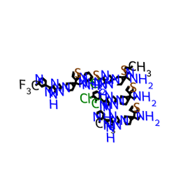 Cc1csc(C2(CN)C3CCN(c4cnc5c(Sc6ccnc(N)c6Cl)n[nH]c5n4)CC32)n1.NCC1(c2ccsc2)C2CCN(c3cnc4c(-c5cccc(Cl)c5Cl)n[nH]c4n3)CC21.NCC1(c2ccsc2)C2CCN(c3cnc4c(-c5cccnc5C(F)(F)F)n[nH]c4n3)CC21.NCC1(c2ccsc2)C2CCN(c3cnc4c(-c5ccnc(C(F)(F)F)c5)n[nH]c4n3)CC21